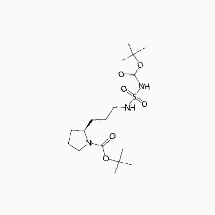 CC(C)(C)OC(=O)NS(=O)(=O)NCCC[C@@H]1CCCN1C(=O)OC(C)(C)C